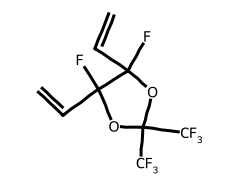 C=CC1(F)OC(C(F)(F)F)(C(F)(F)F)OC1(F)C=C